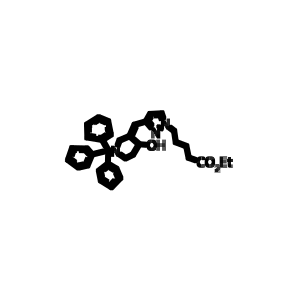 CCOC(=O)CCCCn1ccc(C=C2CN(C(c3ccccc3)(c3ccccc3)c3ccccc3)CCC2O)n1